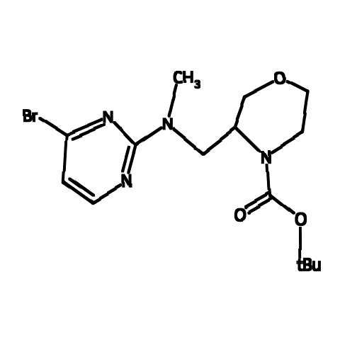 CN(CC1COCCN1C(=O)OC(C)(C)C)c1nccc(Br)n1